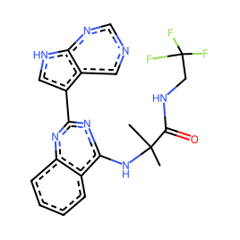 CC(C)(Nc1nc(-c2c[nH]c3ncncc23)nc2ccccc12)C(=O)NCC(F)(F)F